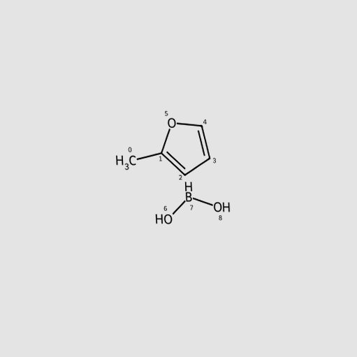 Cc1ccco1.OBO